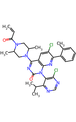 C=CC(=O)N1CC(C)N(c2nc(=O)n(-c3c(Cl)ncnc3C(C)C)c3nc(-c4ccccc4C)c(Cl)cc23)CC1C